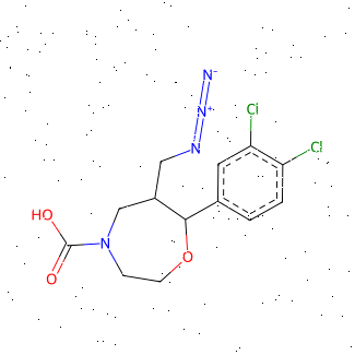 [N-]=[N+]=NCC1CN(C(=O)O)CCOC1c1ccc(Cl)c(Cl)c1